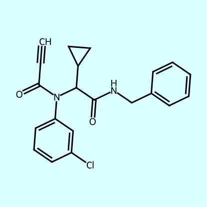 C#CC(=O)N(c1cccc(Cl)c1)C(C(=O)NCc1ccccc1)C1CC1